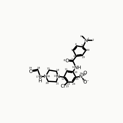 CN(C)c1ccc(C(=O)Nc2cc(N3CCN(BC=O)CC3)c(Cl)cc2[N+](=O)[O-])cc1